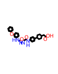 O=C(O)CC1CCC(c2ccc(NC(=O)c3nnc(Nc4cccc(Oc5ccccc5)c4)o3)cc2)CC1